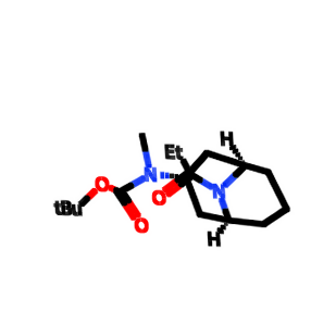 CCC(=O)N1[C@@H]2CCC[C@H]1C[C@H](N(C)C(=O)OC(C)(C)C)C2